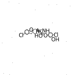 CC(=O)Nc1cc(Cl)c(O)cc1OC[C@@H](O)CN1CCC2(CC1)Cc1cc(Cl)ccc1O2